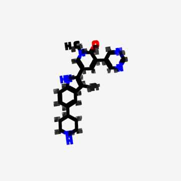 CC(C)c1c(-c2cc(-c3cncnc3)c(=O)n(C)c2)[nH]c2ccc(C3CCNCC3)cc12